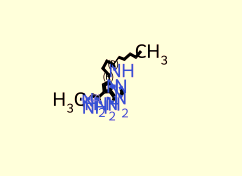 CCCCC[C@@H]1CC[C@H](c2cc(/C(N)=C/N(C)N)c3c(N)ncnn23)N1